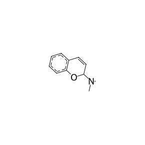 C[N]C1C=Cc2ccccc2O1